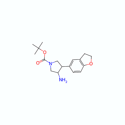 CC(C)(C)OC(=O)N1CC(N)C(c2ccc3c(c2)CCO3)C1